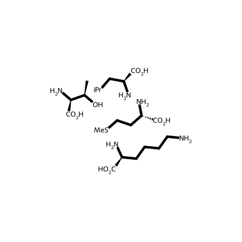 CC(C)C[C@H](N)C(=O)O.CSCC[C@H](N)C(=O)O.C[C@@H](O)[C@H](N)C(=O)O.NCCCC[C@H](N)C(=O)O